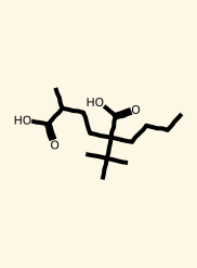 CCCCC(CCC(C)C(=O)O)(C(=O)O)C(C)(C)C